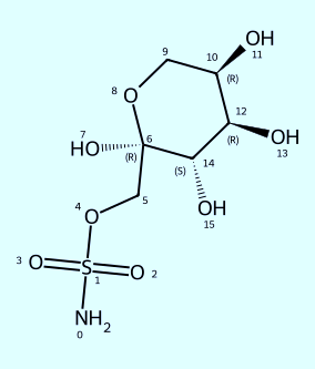 NS(=O)(=O)OC[C@@]1(O)OC[C@@H](O)[C@@H](O)[C@@H]1O